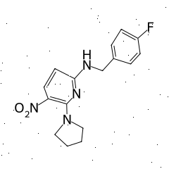 O=[N+]([O-])c1ccc(NCc2ccc(F)cc2)nc1N1CCCC1